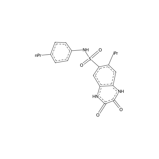 CCCc1ccc(NS(=O)(=O)c2cc3[nH]c(=O)c(=O)[nH]c3cc2C(C)C)cc1